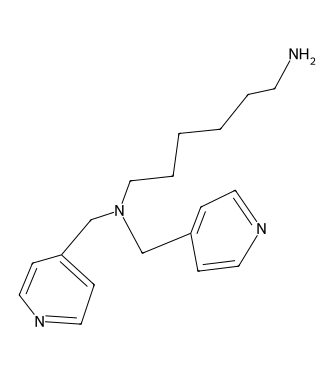 NCCCCCCN(Cc1ccncc1)Cc1ccncc1